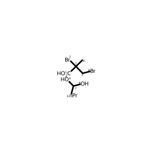 CC(Br)(CBr)C(=O)O.CCCC(O)O